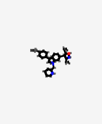 Cc1noc(C)c1-c1ccc2c(-c3ccc(C(=O)O)cc3)cn(Cc3ccccn3)c2c1